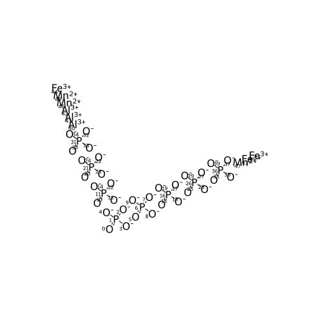 O=P([O-])([O-])[O-].O=P([O-])([O-])[O-].O=P([O-])([O-])[O-].O=P([O-])([O-])[O-].O=P([O-])([O-])[O-].O=P([O-])([O-])[O-].O=P([O-])([O-])[O-].O=P([O-])([O-])[O-].[Al+3].[Al+3].[Al+3].[Fe+3].[Fe+3].[Fe+3].[Mn+2].[Mn+2].[Mn+2]